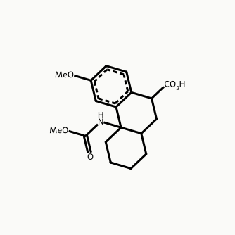 COC(=O)NC12CCCCC1CC(C(=O)O)c1ccc(OC)cc12